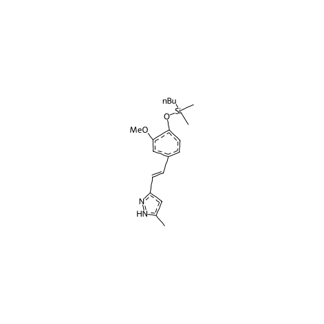 CCCC[Si](C)(C)Oc1ccc(C=Cc2cc(C)[nH]n2)cc1OC